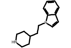 [c]1cc2ccccc2n1CCC1CCNCC1